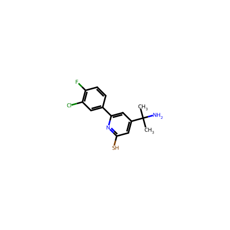 CC(C)(N)c1cc(S)nc(-c2ccc(F)c(Cl)c2)c1